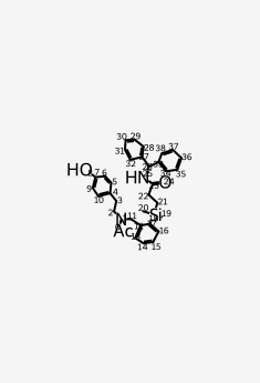 CC(=O)N(CCc1ccc(O)cc1)Cc1ccccc1[Si](C)(C)CCC(=O)NC(c1ccccc1)c1ccccc1